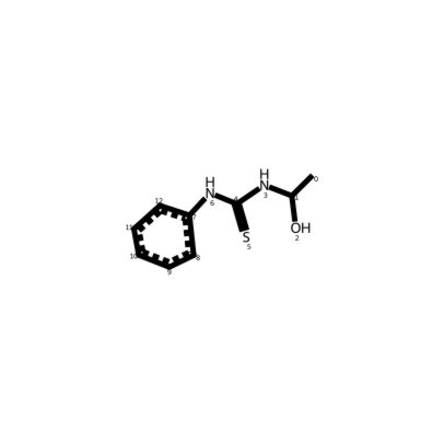 CC(O)NC(=S)Nc1ccccc1